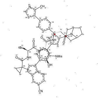 CNc1cc(-c2ccc3cc(C#N)cnn23)ncc1-c1nnc(N2CC3CCC(C2)N3C(=O)C[C@H](NC(=O)[C@@H]2C[C@@H](O)CN2C(=O)[C@@H](NC(=O)C2(F)CC2)C(C)(C)C)c2ccc(-c3scnc3C)cc2)s1